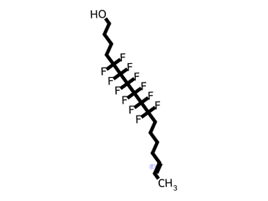 C/C=C/CCCCC(F)(F)C(F)(F)C(F)(F)C(F)(F)C(F)(F)C(F)(F)CCCCO